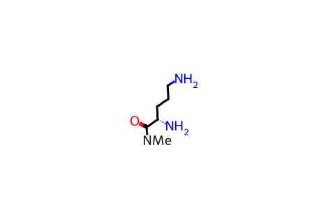 CNC(=O)[C@@H](N)CCCN